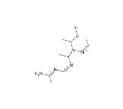 C/C=N\N(C(C)/N=C\N=C(/C)N)C(C)OCC